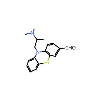 CC(CN1c2ccccc2Sc2cc(C=O)ccc21)N(C)C